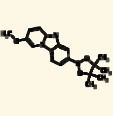 COc1ccc2nc3cc(B4OC(C)(C)C(C)(C)O4)ccc3n2c1